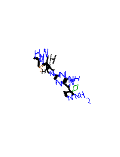 Cc1csc(C2(CN)[C@@H]3CN(c4cnc5c(-c6ccnc(N)c6Cl)n[nH]c5n4)C[C@@H]32)n1